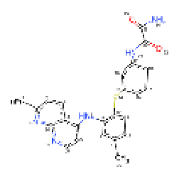 CCCc1ccc2c(Nc3cc(C)ccc3Sc3cccc(NC(=O)C(N)=O)c3)ccnc2n1